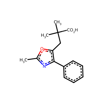 Cc1nc(-c2ccccc2)c(CC(C)(C)C(=O)O)o1